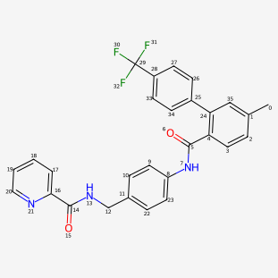 Cc1ccc(C(=O)Nc2ccc(CNC(=O)c3ccccn3)cc2)c(-c2ccc(C(F)(F)F)cc2)c1